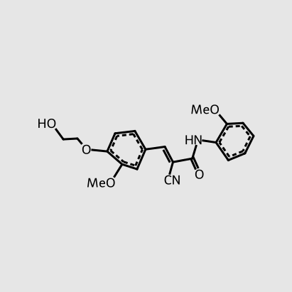 COc1ccccc1NC(=O)C(C#N)=Cc1ccc(OCCO)c(OC)c1